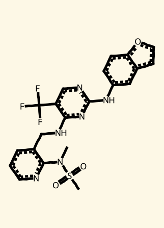 CN(c1ncccc1CNc1nc(Nc2ccc3occc3c2)ncc1C(F)(F)F)S(C)(=O)=O